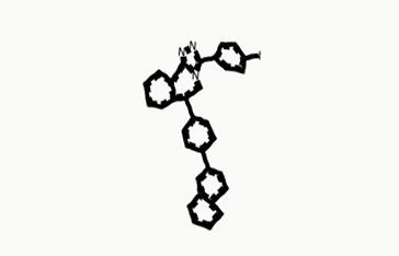 Ic1ccc(-c2nnc3c4ccccc4c(-c4ccc(-c5ccc6ccccc6c5)cc4)cn23)cc1